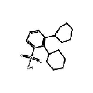 O=S(=O)(O)c1cccc(C2CCCCC2)c1C1CCCCC1